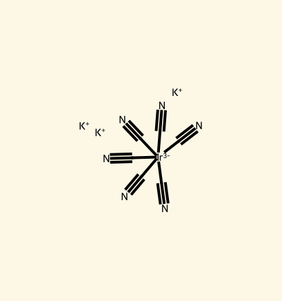 N#[C][Ir-3]([C]#N)([C]#N)([C]#N)([C]#N)[C]#N.[K+].[K+].[K+]